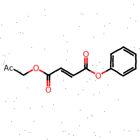 CC(=O)COC(=O)/C=C/C(=O)Oc1ccccc1